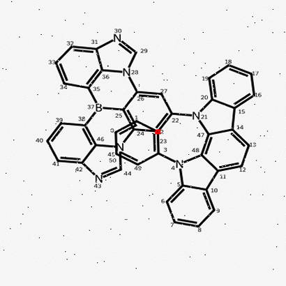 c1ccc(-n2c3ccccc3c3ccc4c5ccccc5n(-c5cc6c7c(c5)-n5cnc8cccc(c85)B7c5cccc7ncn-6c57)c4c32)cc1